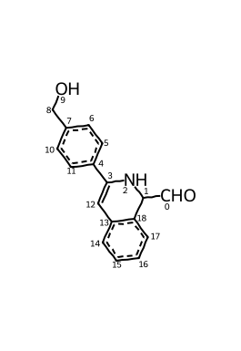 O=CC1NC(c2ccc(CO)cc2)=Cc2ccccc21